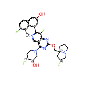 CCc1c(F)ccc2cc(O)cc(-c3ncc4c(N5CC[C@@H](F)[C@H](O)C5)nc(OC[C@@]56CCCN5C[C@H](F)C6)nc4c3F)c12